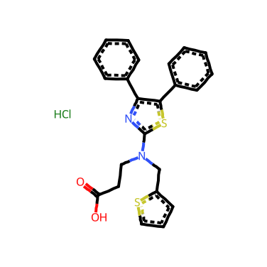 Cl.O=C(O)CCN(Cc1cccs1)c1nc(-c2ccccc2)c(-c2ccccc2)s1